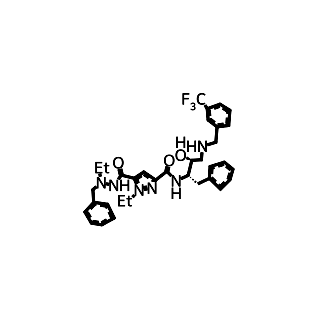 CCN(Cc1ccccc1)NC(=O)c1cc(C(=O)N[C@@H](Cc2ccccc2)[C@@H](O)CNCc2cccc(C(F)(F)F)c2)nn1CC